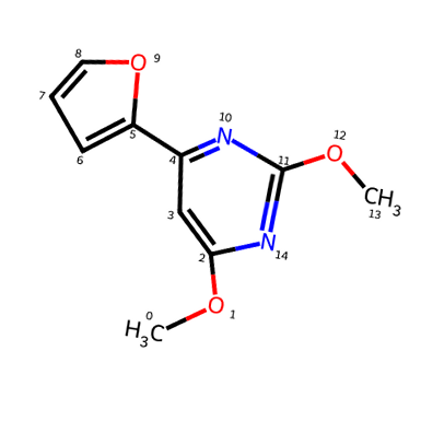 COc1cc(-c2ccco2)nc(OC)n1